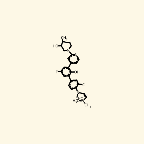 CC1CCN(c2cc(-c3cc(F)cc(-c4ccc(N(C=O)/C=C\N(C)C)c(Cl)c4)c3O)ccn2)CC1O